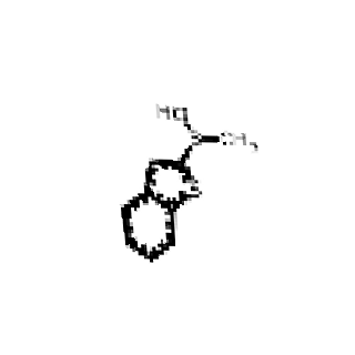 CB(O)c1cc2ccccc2s1